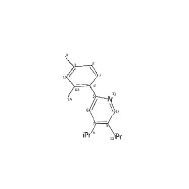 Cc1ccc(-c2cc(C(C)C)c(C(C)C)cn2)c(C)c1